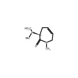 CN1CC=CC[C@H](N(C(=O)O)C(C)(C)C)C1=O